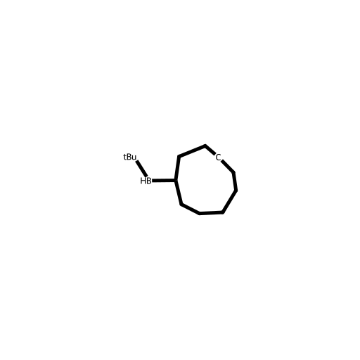 CC(C)(C)BC1CCCCCCCC1